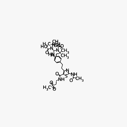 CC(=O)Nc1nc(CCc2ccc(NC(N(C(=O)O)C(C)(C)C)N(C(=O)O)C(C)(C)C)cc2)c(C(=O)NCCS(C)(=O)=O)s1